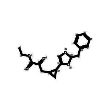 CCOC(=O)C(=O)CC1CC1C1=COC(Cc2ccccc2)O1